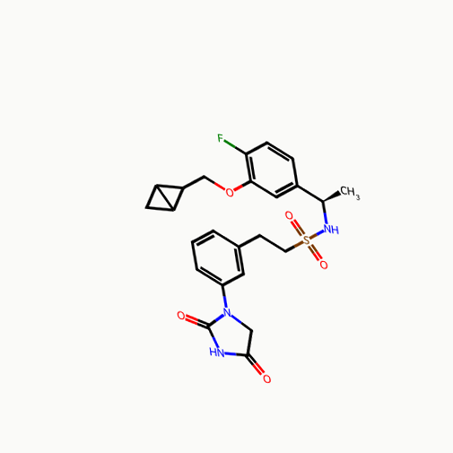 C[C@@H](NS(=O)(=O)CCc1cccc(N2CC(=O)NC2=O)c1)c1ccc(F)c(OCC2C3CC23)c1